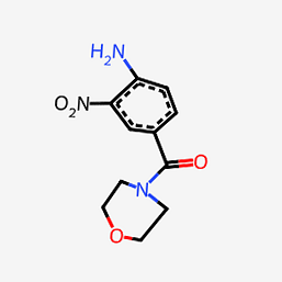 Nc1ccc(C(=O)N2CCOCC2)cc1[N+](=O)[O-]